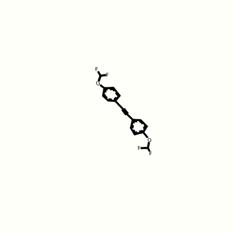 FC(F)Oc1ccc(C#Cc2ccc(OC(F)F)cc2)cc1